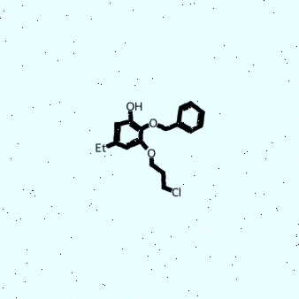 CCc1cc(O)c(OCc2ccccc2)c(OCCCCl)c1